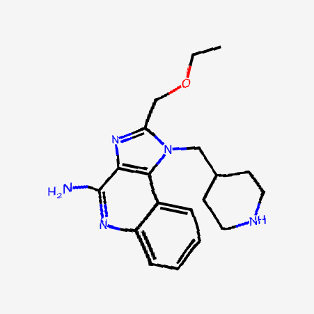 CCOCc1nc2c(N)nc3ccccc3c2n1CC1CCNCC1